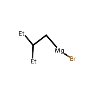 CCC(CC)[CH2][Mg][Br]